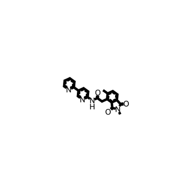 Cc1ccc2c(c1CC(=O)Nc1ccc(-c3ccccn3)cn1)C(=O)N(C)C2=O